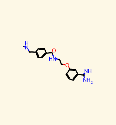 CNCc1ccc(C(=O)NCCOc2cccc(C(=N)N)c2)cc1